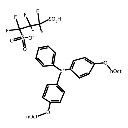 CCCCCCCCOc1ccc([S+](c2ccccc2)c2ccc(OCCCCCCCC)cc2)cc1.O=S(=O)([O-])C(F)(F)C(F)(F)C(F)(F)S(=O)(=O)O